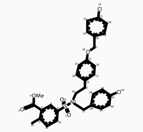 COC(=O)c1cc(S(=O)(=O)N(CCc2ccc(OCc3ccc(Cl)cc3)cc2)Cc2ccc(Cl)cc2)ccc1C